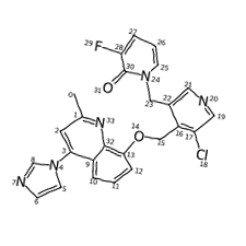 Cc1cc(-n2ccnc2)c2cccc(OCc3c(Cl)cncc3Cn3cccc(F)c3=O)c2n1